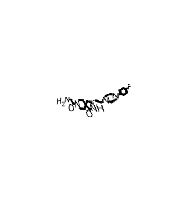 NCC(=O)N1CCC2(CC1)C[C@H](CCN1CCN(c3ccc(F)cc3)CC1)NC2=O